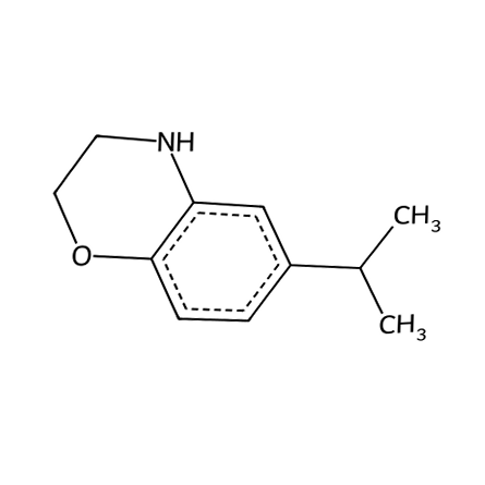 CC(C)c1ccc2c(c1)NCCO2